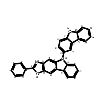 c1ccc(-c2nc3cc4c(cc3o2)c2ccccc2n4-c2ccc3oc4ccccc4c3c2)cc1